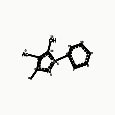 CC(=O)c1c(C)nn(-c2ccccc2)c1O